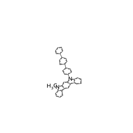 Cn1c2ccccc2c2cc3c4ccccc4n(-c4ccc(-c5ccc(-c6ccccc6)cc5)cc4)c3cc21